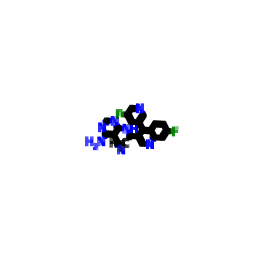 CC(Nc1ncnc(N)c1C#N)c1cnc2cc(F)ccc2c1-c1cncc(F)c1